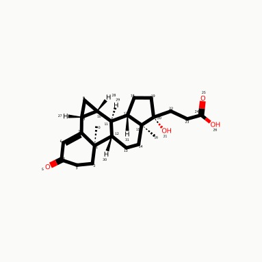 C[C@]12CCC(=O)C=C1[C@@H]1C[C@@H]1[C@@H]1[C@@H]2CC[C@@]2(C)[C@H]1CC[C@@]2(O)CCC(=O)O